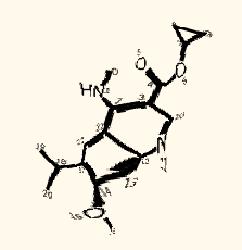 CNc1c(C(=O)OC2CC2)cnc2cc(OC)c(C(C)C)cc12